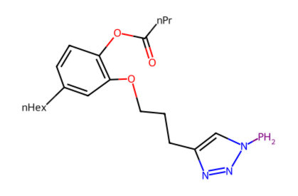 CCCCCCc1ccc(OC(=O)CCC)c(OCCCc2cn(P)nn2)c1